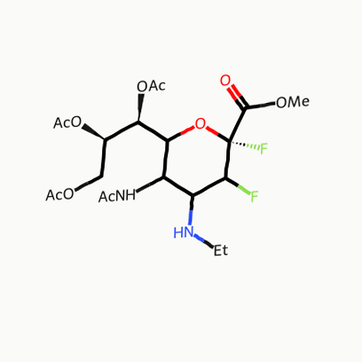 CCNC1C(NC(C)=O)C([C@H](OC(C)=O)[C@@H](COC(C)=O)OC(C)=O)O[C@@](F)(C(=O)OC)C1F